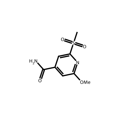 COc1cc(C(N)=O)cc(S(C)(=O)=O)n1